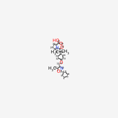 Cc1oc(-c2ccccc2)nc1COc1ccc(C(C)(C)C(=O)N2CCCC2C(=O)O)cc1